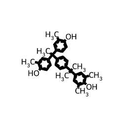 Cc1cc(C(C)(c2ccc(C(C)(C)c3cc(C)c(O)c(C)c3)cc2)c2ccc(O)c(C)c2)ccc1O